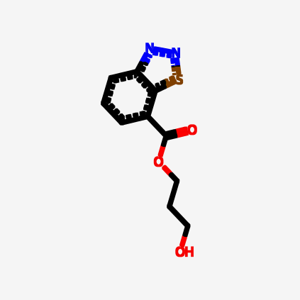 O=C(OCCCO)c1cccc2nnsc12